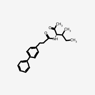 CCC(C)[C@H](NC(=O)CCc1ccc(-c2ccccc2)cc1)C(C)=O